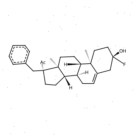 CC(=O)[C@@]1(Cc2ccccc2)CC[C@H]2[C@@H]3CC=C4C[C@@](O)(F)CC[C@]4(C)[C@H]3CC[C@@]21C